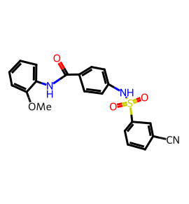 COc1ccccc1NC(=O)c1ccc(NS(=O)(=O)c2cccc(C#N)c2)cc1